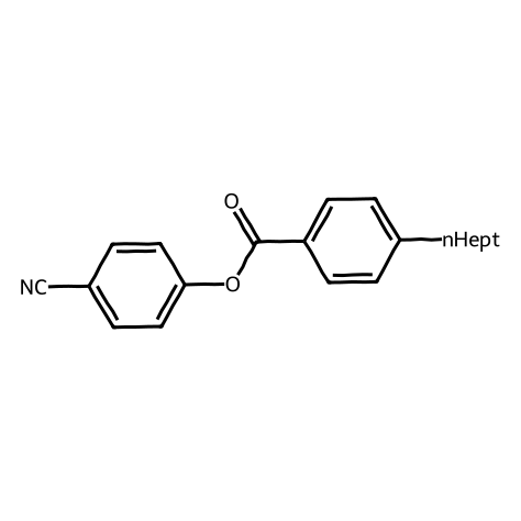 CCCCCCCc1ccc(C(=O)Oc2ccc(C#N)cc2)cc1